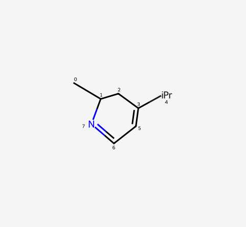 CC1CC(C(C)C)=CC=N1